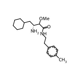 COC(C(=O)NCCc1ccc(C)cc1)[C@H](N)CC1CCCCC1